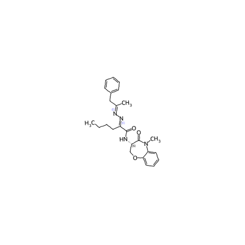 CCCC/C(=N\N=C(/C)Cc1ccccc1)C(=O)N[C@H]1COc2ccccc2N(C)C1=O